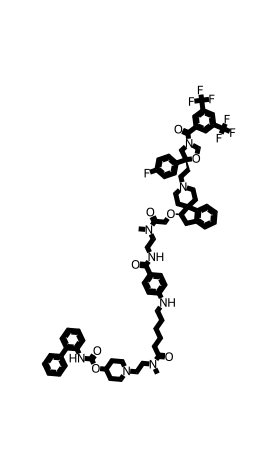 CN(CCN1CCC(OC(=O)Nc2ccccc2-c2ccccc2)CC1)C(=O)CCCCCNc1ccc(C(=O)NCCN(C)C(=O)CO[C@H]2Cc3ccccc3C23CCN(CC[C@@]2(c4ccc(F)cc4)CN(C(=O)c4cc(C(F)(F)F)cc(C(F)(F)F)c4)CO2)CC3)cc1